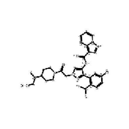 CN(CC=O)C1CCN(C(=O)Cn2cc(NC(=O)c3cnn4cccnc34)c(-c3cc(Cl)ccc3C(F)F)n2)CC1